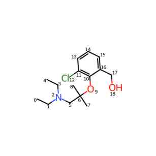 CCN(CC)CC(C)(C)Oc1c(Cl)cccc1CO